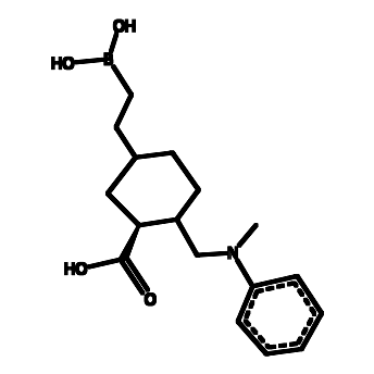 CN(CC1CCC(CCB(O)O)C[C@@H]1C(=O)O)c1ccccc1